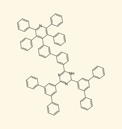 c1ccc(-c2cc(C3=NC(c4cc(-c5ccccc5)cc(-c5ccccc5)c4)NC(c4cccc(-c5cccc(-c6c(-c7ccccc7)c(-c7ccccc7)nc(-c7ccccc7)c6-c6ccccc6)c5)c4)=N3)cc(-c3ccccc3)c2)cc1